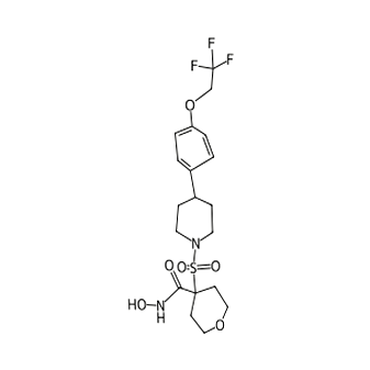 O=C(NO)C1(S(=O)(=O)N2CCC(c3ccc(OCC(F)(F)F)cc3)CC2)CCOCC1